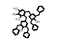 Cc1cc(Cc2cc(Cc3ccccc3)c(O)c(Cc3ccccc3)c2)c(Cc2cc(Cc3ccccc3)c(O)c(Cc3ccccc3)c2)c(C)c1O